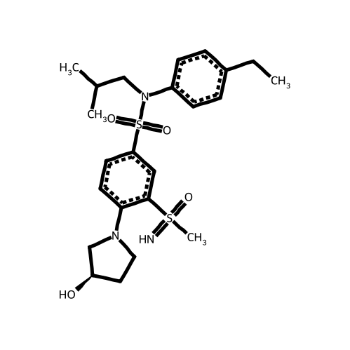 CCc1ccc(N(CC(C)C)S(=O)(=O)c2ccc(N3CC[C@@H](O)C3)c(S(C)(=N)=O)c2)cc1